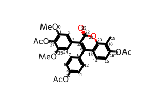 COc1cc(-c2c(-c3ccc(OC(C)=O)cc3)c3ccc(OC(C)=O)c(C)c3oc2=O)cc(OC)c1OC(C)=O